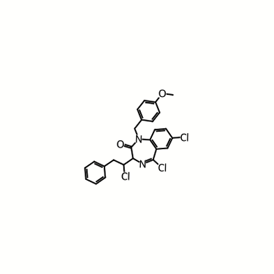 COc1ccc(CN2C(=O)C(C(Cl)Cc3ccccc3)N=C(Cl)c3cc(Cl)ccc32)cc1